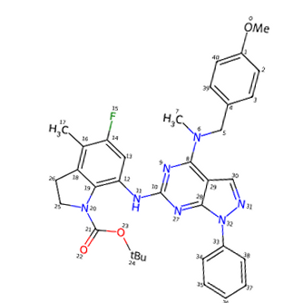 COc1ccc(CN(C)c2nc(Nc3cc(F)c(C)c4c3N(C(=O)OC(C)(C)C)CC4)nc3c2cnn3-c2ccccc2)cc1